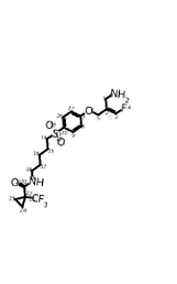 NC/C(=C\F)COc1ccc(S(=O)(=O)CCCCCNC(=O)C2(C(F)(F)F)CC2)cc1